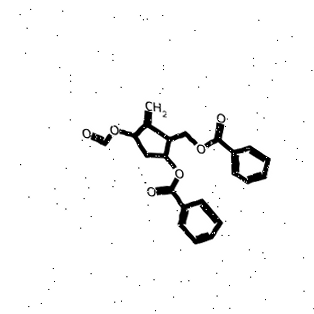 C=C1C(OC=O)CC(OC(=O)c2ccccc2)C1COC(=O)c1ccccc1